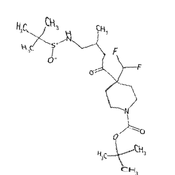 CC(CN[S+]([O-])C(C)(C)C)CC(=O)C1(C(F)F)CCN(C(=O)OC(C)(C)C)CC1